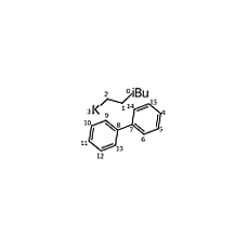 CCC(C)C[CH2][K].c1ccc(-c2ccccc2)cc1